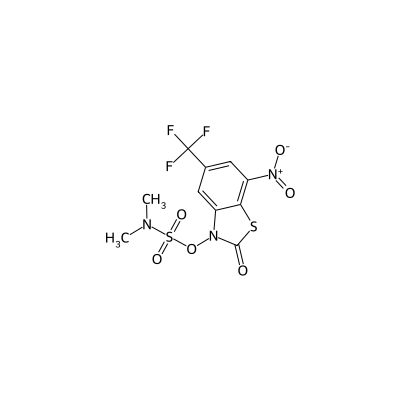 CN(C)S(=O)(=O)On1c(=O)sc2c([N+](=O)[O-])cc(C(F)(F)F)cc21